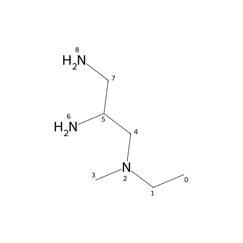 CCN(C)CC(N)CN